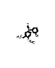 CCc1ccccc1N=C=O.O=C=Nc1cccc(Br)c1